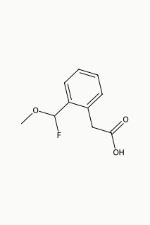 COC(F)c1ccccc1CC(=O)O